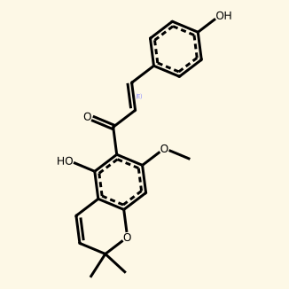 COc1cc2c(c(O)c1C(=O)/C=C/c1ccc(O)cc1)C=CC(C)(C)O2